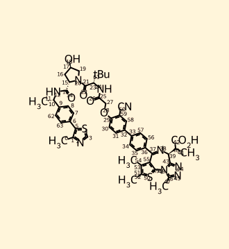 Cc1ncsc1-c1ccc([C@H](C)NC(=O)[C@@H]2C[C@@H](O)CN2C(=O)[C@@H](NC(=O)COc2ccc(-c3ccc(C4=N[C@@H](C(C)C(=O)O)c5nnc(C)n5-c5sc(C)c(C)c54)cc3)cc2C#N)C(C)(C)C)cc1